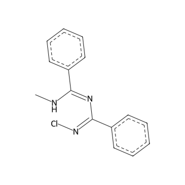 CN/C(=N\C(=N/Cl)c1ccccc1)c1ccccc1